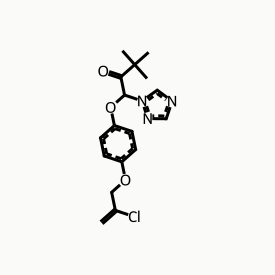 C=C(Cl)COc1ccc(OC(C(=O)C(C)(C)C)n2cncn2)cc1